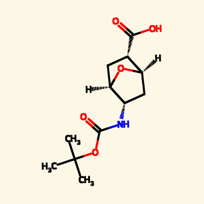 CC(C)(C)OC(=O)N[C@H]1C[C@H]2O[C@@H]1C[C@@H]2C(=O)O